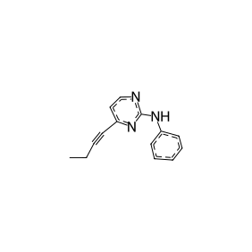 CCC#Cc1ccnc(Nc2ccccc2)n1